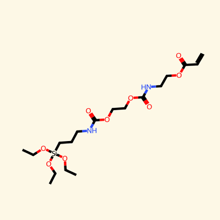 C=CC(=O)OCCNC(=O)OCCOC(=O)NCCC[Si](OCC)(OCC)OCC